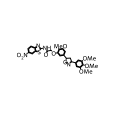 COc1ccc(C2CC(c3cc(OC)c(OC)c(OC)c3)=NO2)cc1OCC(=O)Nc1nc2ccc([N+](=O)[O-])cc2s1